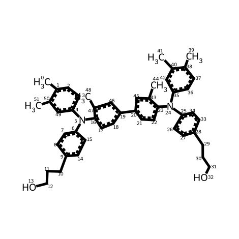 Cc1ccc(N(c2ccc(CCCO)cc2)c2ccc(-c3ccc(N(c4ccc(CCCO)cc4)c4ccc(C)c(C)c4)c(C)c3)cc2C)cc1C